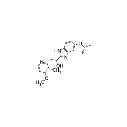 COc1ccnc(CC(O)c2nc3cc(OC(F)F)ccc3[nH]2)c1C